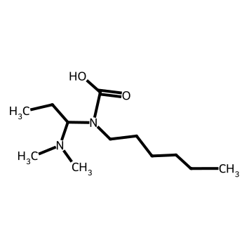 CCCCCCN(C(=O)O)C(CC)N(C)C